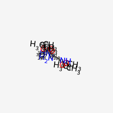 CC(C)(C)OC(=O)NCCCC[C@H](N)C(=O)N[C@H]([C]=O)C(OC(C)(C)C)C1CCCCC1